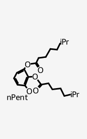 CCCCCOc1cccc(OC(=O)CCCCC(C)C)c1OC(=O)CCCCC(C)C